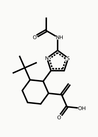 C=C(C(=O)O)C1CCCC(C(C)(C)C)C1c1csc(NC(C)=O)n1